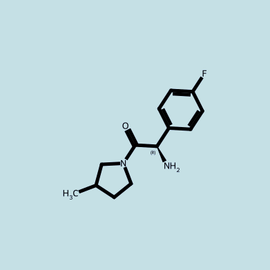 CC1CCN(C(=O)[C@H](N)c2ccc(F)cc2)C1